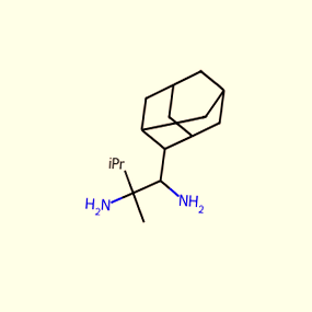 CC(C)C(C)(N)C(N)C1C2CC3CC(C2)CC1C3